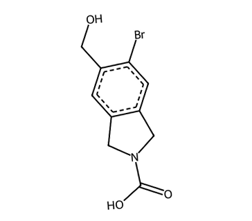 O=C(O)N1Cc2cc(Br)c(CO)cc2C1